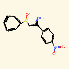 N=C(C[S+]([O-])c1ccccc1)c1ccc([N+](=O)[O-])cc1